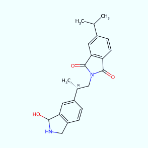 CC(C)c1ccc2c(c1)C(=O)N(C[C@@H](C)c1ccc3c(c1)C(O)NC3)C2=O